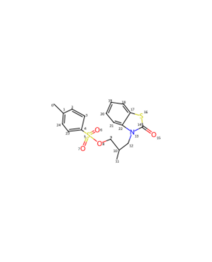 Cc1ccc(S(=O)(=O)OCC(C)Cn2c(=O)sc3ccccc32)cc1